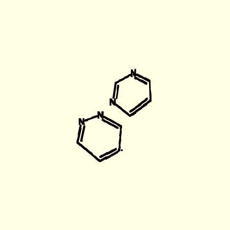 [c]1ccnnc1.c1cncnc1